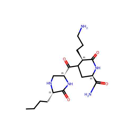 CCCC[C@@H]1NC[C@H](C(=O)C2C[C@H](C(N)=O)NC(=O)[C@@H]2CCCN)NC1=O